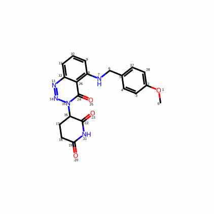 COc1ccc(CNc2cccc3nnn(C4CCC(=O)NC4=O)c(=O)c23)cc1